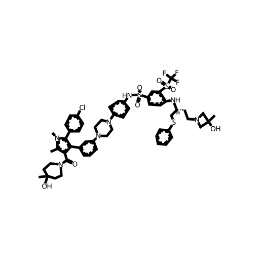 Cc1c(C(=O)N2CCC(C)(O)CC2)c(-c2cccc(N3CCN(c4ccc(NS(=O)(=O)c5ccc(N[C@H](CCN6CC(C)(O)C6)CSc6ccccc6)c(S(=O)(=O)C(F)(F)F)c5)cc4)CC3)c2)c(-c2ccc(Cl)cc2)n1C